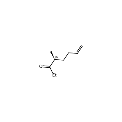 C=CCC[C@H](C)C(=O)CC